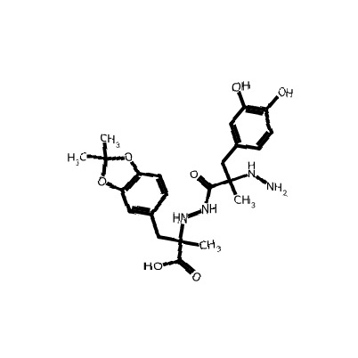 CC1(C)Oc2ccc(CC(C)(NNC(=O)C(C)(Cc3ccc(O)c(O)c3)NN)C(=O)O)cc2O1